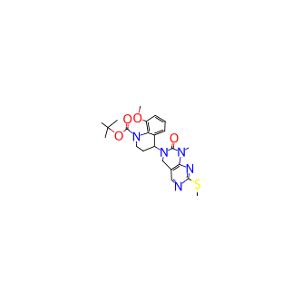 COc1cccc2c1N(C(=O)OC(C)(C)C)CCC2N1Cc2cnc(SC)nc2N(C)C1=O